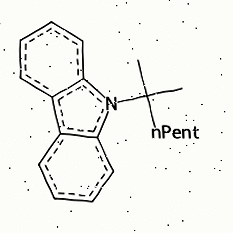 CCCCCC(C)(C)n1c2ccccc2c2ccccc21